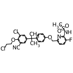 CC(C)(c1ccc(OCc2ccc(F)c(NS(C)(=O)=O)n2)cc1)c1cc(Cl)c(OCCCl)c(C#N)c1